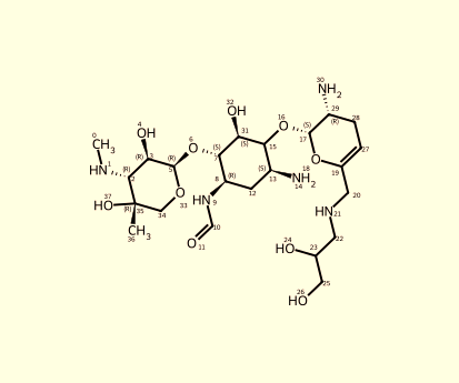 CN[C@@H]1[C@@H](O)[C@@H](O[C@H]2[C@H](NC=O)C[C@H](N)C(O[C@H]3OC(CNCC(O)CO)=CC[C@H]3N)[C@@H]2O)OC[C@]1(C)O